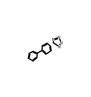 C1N=NN=N1.c1ccc(-c2ccccc2)cc1